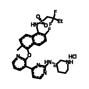 CCC(F)(F)CS(=O)(=O)Nc1c(F)ccc2c(Oc3ncccc3-c3ccnc(N[C@H]4CCCNC4)n3)c(C)ccc12.Cl